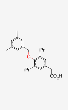 Cc1cc(C)cc(COc2c(C(C)C)cc(CC(=O)O)cc2C(C)C)c1